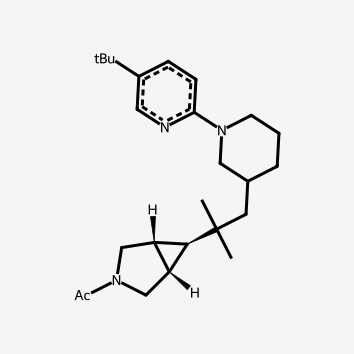 CC(=O)N1C[C@@H]2[C@H](C1)[C@H]2C(C)(C)CC1CCCN(c2ccc(C(C)(C)C)cn2)C1